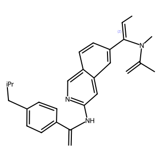 C=C(Nc1cc2cc(/C(=C/C)N(C)C(=C)C)ccc2cn1)c1ccc(CC(C)C)cc1